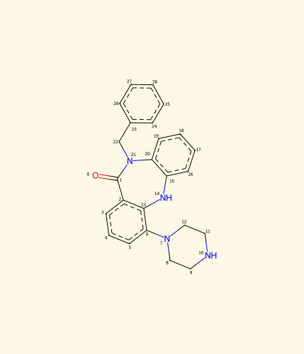 O=C1c2cccc(N3CCNCC3)c2Nc2ccccc2N1Cc1ccccc1